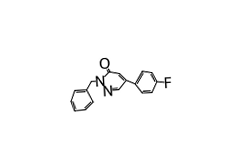 O=c1cc(-c2ccc(F)cc2)cnn1Cc1ccccc1